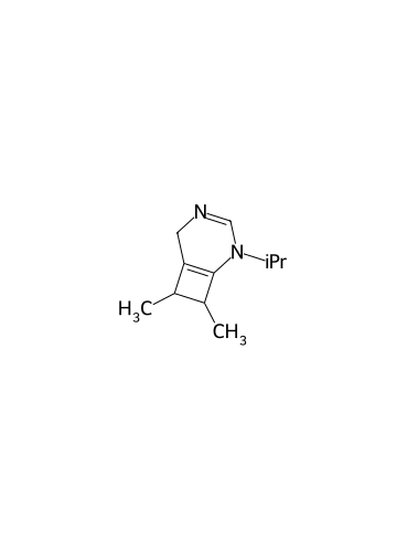 CC1C2=C(C1C)N(C(C)C)C=NC2